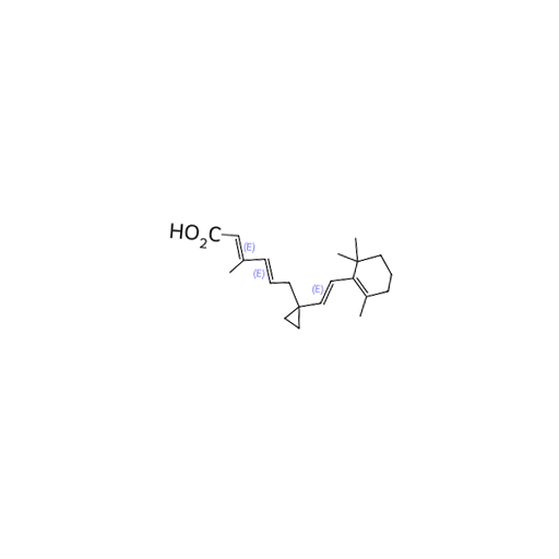 CC1=C(/C=C/C2(C/C=C/C(C)=C/C(=O)O)CC2)C(C)(C)CCC1